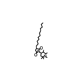 CCCCCCCCCCCCC1CC(=O)N(C2CC(C)(C)N(C)C(C)C2C)C1=O